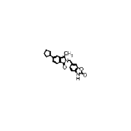 C[C@H]1c2cc(C3CCCC3)ccc2C(=O)N1Cc1ccc2[nH]c(=O)oc2c1